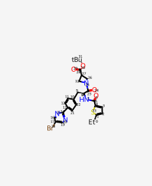 CCc1ccc(C(=O)N[C@@H](Cc2ccc(-c3ncc(Br)cn3)cc2)C(=O)N2CC(C(=O)OC(C)(C)C)C2)s1